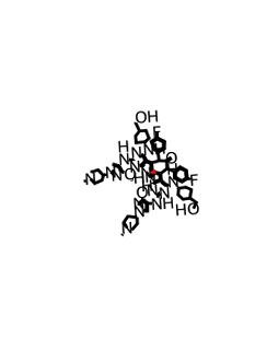 COc1nn(C2CCN(C)CC2)cc1Nc1nc(NC2CCC(CO)CC2)c2c(C(C(=O)C(c3ccc(F)cc3)c3c[nH]c4nc(Nc5cn(C6CCN(C)CC6)nc5OC)nc(NC5CCC(CO)CC5)c34)c3ccc(F)cc3)c[nH]c2n1